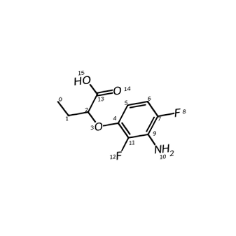 CCC(Oc1ccc(F)c(N)c1F)C(=O)O